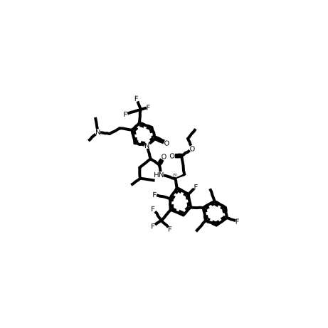 CCOC(=O)C[C@H](NC(=O)C(CC(C)C)n1cc(CCN(C)C)c(C(F)(F)F)cc1=O)c1c(F)c(-c2c(C)cc(F)cc2C)cc(C(F)(F)F)c1F